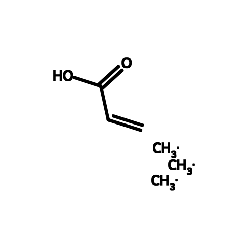 C=CC(=O)O.[CH3].[CH3].[CH3]